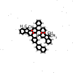 CC1(C)c2ccccc2-c2cc(-c3ccc(-c4ccc5ccccc5c4)cc3N(c3ccc4c(c3)-c3ccccc3C4(C)C)c3cccc(-c4ccccc4)c3-c3ccccc3)ccc21